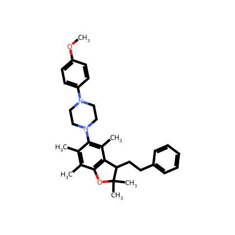 COc1ccc(N2CCN(c3c(C)c(C)c4c(c3C)C(CCc3ccccc3)C(C)(C)O4)CC2)cc1